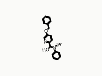 CC(C)N(c1ccccc1)C(O)c1ccc(OCc2ccccc2)cn1